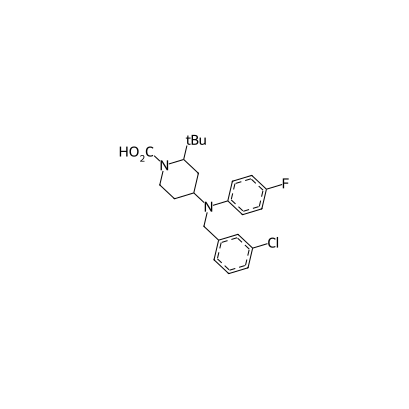 CC(C)(C)C1CC(N(Cc2cccc(Cl)c2)c2ccc(F)cc2)CCN1C(=O)O